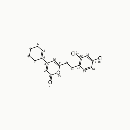 O=c1cc(C2=CCCCC2)cc(CCc2ccc(Cl)cc2Cl)o1